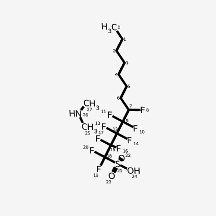 CCCCCCCC(F)C(F)(F)C(F)(F)C(F)(F)C(F)(F)S(=O)(=O)O.CNC